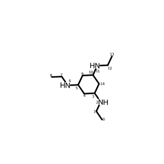 CCNC1CC(NCC)CC(NCC)C1